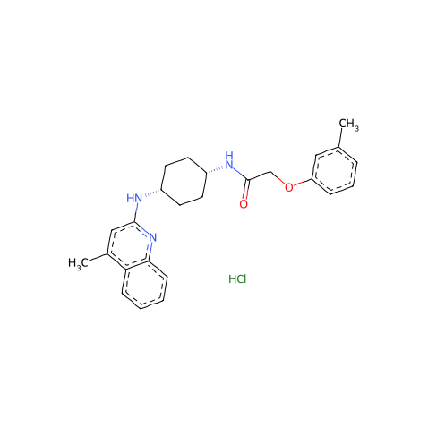 Cc1cccc(OCC(=O)N[C@H]2CC[C@@H](Nc3cc(C)c4ccccc4n3)CC2)c1.Cl